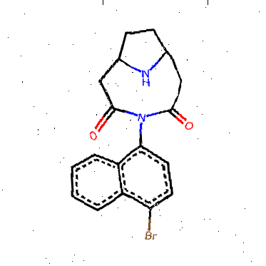 O=C1CC2CCC(CC(=O)N1c1ccc(Br)c3ccccc13)N2